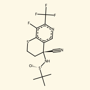 CC(C)(C)[S@+]([O-])N[C@]1(C#N)CCSc2c1cnc(C(F)(F)F)c2F